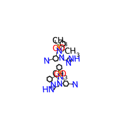 CCCS(=O)(=O)N1Cc2cc(C#N)ccc2N(Cc2c[nH]cn2)C[C@H]1[C@@H](C)c1ccccc1.C[C@@H](c1ccccc1)[C@@H]1CN(Cc2c[nH]cn2)c2ccc(C#N)cc2CN1S(=O)(=O)c1ccccc1